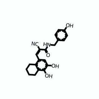 N#CC(=Cc1cc(O)c(O)c2c1CCCC2)C(=O)NCc1ccc(O)cc1